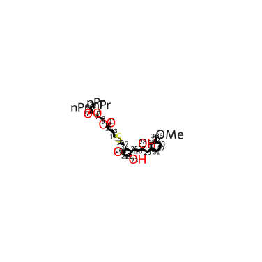 CCCC(CCC)(CCC)C(=O)OCCOC(=O)CCCSCC[C@H]1C(=O)C[C@@H](O)[C@@H]1C=C[C@@H](O)Cc1cccc(COC)c1